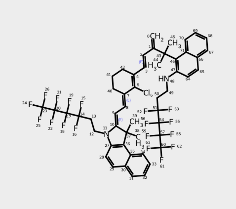 C=C(/C=C/C1=C(Cl)C(=C/C=C2/N(CCC(F)(F)C(F)(F)C(F)(F)C(F)(F)F)c3ccc4ccccc4c3C2(C)C)/CCC1)C(C)(C)c1c(NCCC(F)(F)C(F)(F)C(F)(F)C(F)(F)F)ccc2ccccc12